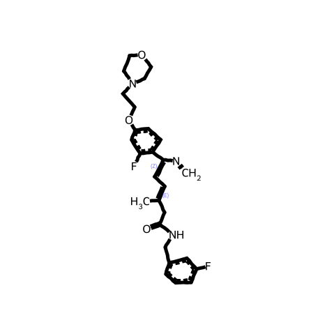 C=N/C(=C\C=C(/C)CC(=O)NCc1cccc(F)c1)c1ccc(OCCN2CCOCC2)cc1F